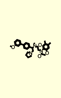 COc1cccc(-c2ccc(C(CN3CCCC3)N(C)C(=O)CN3C(=O)COc4cc(C)c(C)cc43)cc2)c1